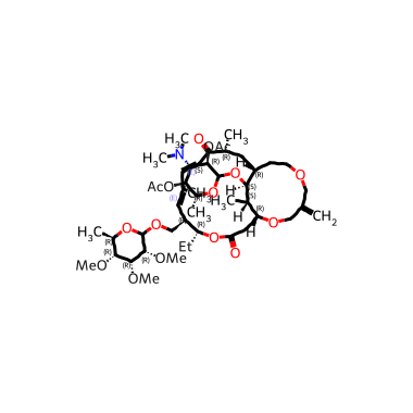 C=C1COCC[C@H]2C[C@@H](C)C(=O)/C=C/C(C)=C/[C@H](COC3O[C@H](C)[C@@H](OC)[C@@H](OC)[C@H]3OC)[C@@H](CC)OC(=O)C[C@@H](OC1)[C@H](C)[C@H]2OC1O[C@H](C)[C@@H](OC(C)=O)[C@H](N(C)C)[C@H]1OC(C)=O